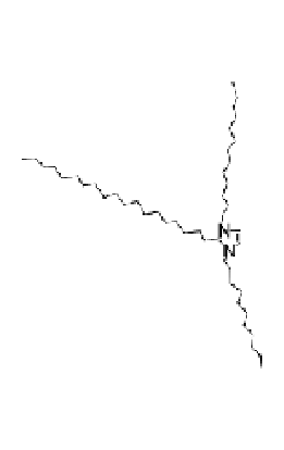 CCCCCCCCCCCCCCCCCCCC1N(CCCCCCCCCCC)C=CN1CCCCCCCCCCCCC